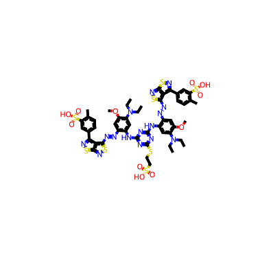 CCN(CC)c1cc(Nc2nc(Nc3cc(N(CC)CC)c(OC)cc3/N=N/c3snc4snc(-c5ccc(C)c(S(=O)(=O)O)c5)c34)nc(SCCS(=O)(=O)O)n2)c(/N=N/c2snc3snc(-c4ccc(C)c(S(=O)(=O)O)c4)c23)cc1OC